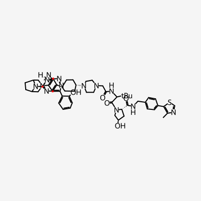 Cc1ncsc1-c1ccc(CNC(=O)[C@@H]2C[C@@H](O)CN2C(=O)C(NC(=O)CN2CCN([C@H]3CC[C@H](c4cnc(N5C6CCC5CN(c5cc(-c7ccccc7O)nnc5N)C6)nc4)CC3)CC2)C(C)(C)C)cc1